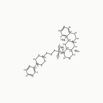 O=S(=O)(CCCN1CCN(c2ccccc2)CC1)N1CCC[C@@H]2CN3CCc4ccccc4[C@@H]3C[C@@H]21